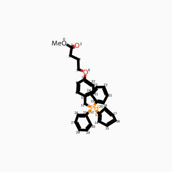 COC(=O)CCCOc1ccc(C[PH](c2ccccc2)(c2ccccc2)c2ccccc2)cc1